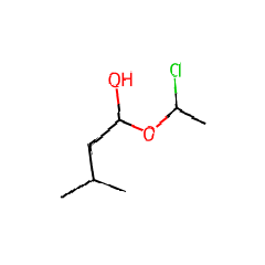 CC(C)CC(O)OC(C)Cl